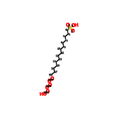 O=S(=O)(O)CCCCCCCCCCCCCCCOOOOOO